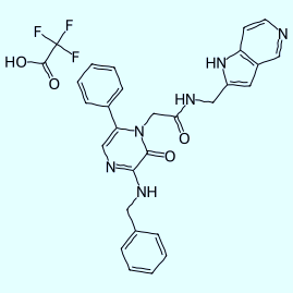 O=C(Cn1c(-c2ccccc2)cnc(NCc2ccccc2)c1=O)NCc1cc2cnccc2[nH]1.O=C(O)C(F)(F)F